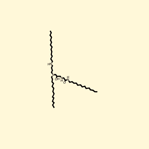 CCCCCCCCCCCCCCNCCCCN(CCCCCCCCCCCCCC)CC(O)CNCC(=O)NCCCCCCCCCCCCCC